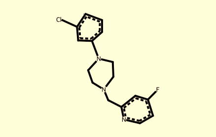 Fc1ccnc(CN2CCN(c3cc[c]c(Cl)c3)CC2)c1